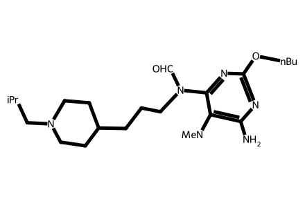 CCCCOc1nc(N)c(NC)c(N(C=O)CCCC2CCN(CC(C)C)CC2)n1